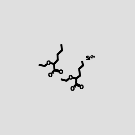 CCCCC(OCC)C(=O)[O-].CCCCC(OCC)C(=O)[O-].[Sr+2]